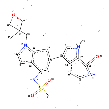 Cn1cc(-c2cc(NS(C)(=O)=O)c3ccn(CC4(C)COC4)c3c2)c2cc[nH]c(=O)c21